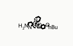 CCCCOc1ccc(CN(Cc2cccc(N)n2)S(=O)(=O)c2ccccn2)cc1